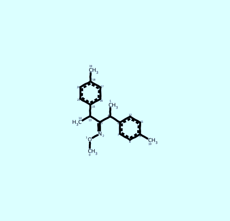 CON=C(C(C)c1ccc(C)cc1)C(C)c1ccc(C)cc1